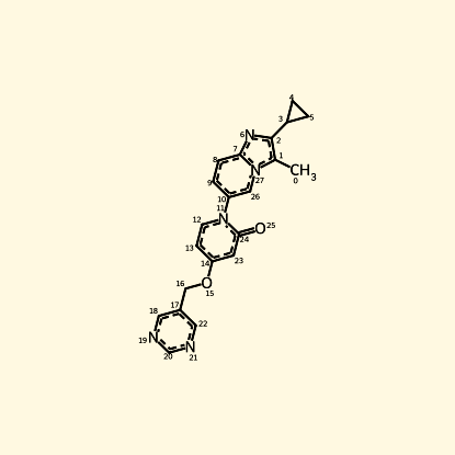 Cc1c(C2CC2)nc2ccc(-n3ccc(OCc4cncnc4)cc3=O)cn12